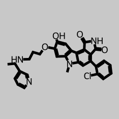 CC(NCCCOc1cc2c(cc1O)c1c3c(c(-c4ccccc4Cl)cc1n2C)C(=O)NC3=O)c1cccnc1